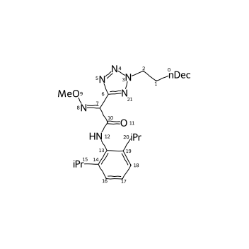 CCCCCCCCCCCCn1nnc(C(=NOC)C(=O)Nc2c(C(C)C)cccc2C(C)C)n1